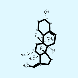 C/C=C1/CC[C@H]2[C@@H]3CC=C4C[C@@H](O)CC[C@]4(C)[C@H]3C[C@@H](OC)[C@]12C